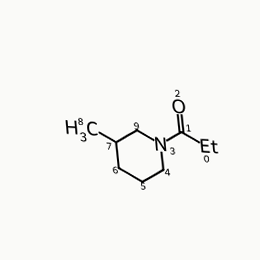 CCC(=O)N1CCCC(C)C1